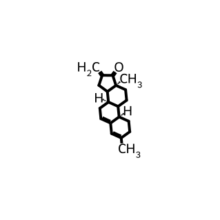 C=C1CC2[C@@H]3CC=C4C=C(C)CC[C@@H]4C3CC[C@]2(C)C1=O